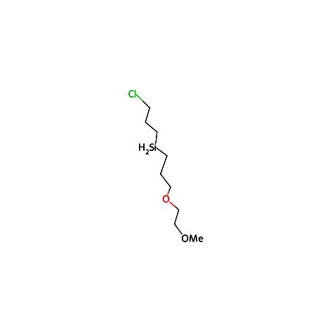 COCCOCCC[SiH2]CCCCl